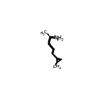 CC1C=C1CC=C[C@@H](C)N